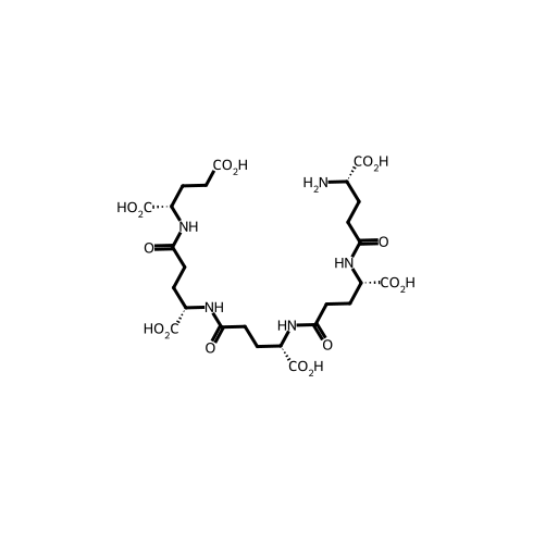 N[C@@H](CCC(=O)N[C@@H](CCC(=O)N[C@@H](CCC(=O)N[C@@H](CCC(=O)N[C@@H](CCC(=O)O)C(=O)O)C(=O)O)C(=O)O)C(=O)O)C(=O)O